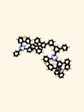 c1ccc(-c2cc(-c3ccccc3)cc(-c3nc(-c4cc(-c5ccccc5)cc(-c5cccc(-c6ccc7c(c6)-c6ccccc6C76c7ccccc7-c7ccc(-c8ccc9sc%10cccc(-c%11nc(-c%12ccccc%12)nc(-c%12ccccc%12)n%11)c%10c9c8)cc76)c5)c4)nc(-c4cccc5sc6ccc(-c7ccc8c(c7)c7ccccc7n8-c7ccccc7)cc6c45)n3)c2)cc1